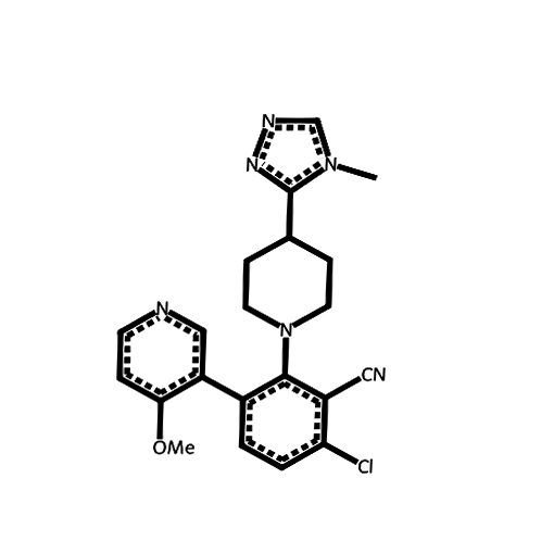 COc1ccncc1-c1ccc(Cl)c(C#N)c1N1CCC(c2nncn2C)CC1